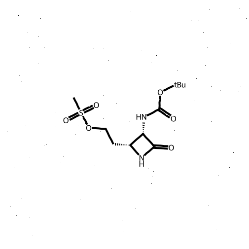 CC(C)(C)OC(=O)N[C@@H]1C(=O)N[C@@H]1CCOS(C)(=O)=O